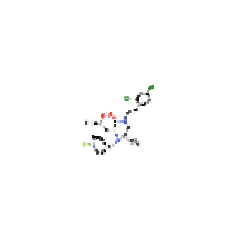 C=C(O)CC1C(=O)N(CCc2ccc(Cl)cc2Cl)CC(=C)N1Cc1ccc(F)cc1